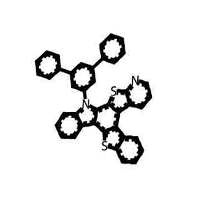 c1ccc(-c2cc(-c3ccccc3)cc(-n3c4ccccc4c4c5sc6ccccc6c5c5c6cccnc6sc5c43)c2)cc1